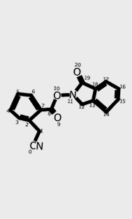 N#CCc1ccccc1C(=O)ON1Cc2ccccc2C1=O